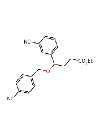 CCOC(=O)CCC(OCc1ccc(C#N)cc1)c1cccc(C#N)c1